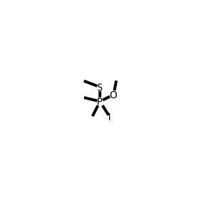 COP(C)(C)(I)SC